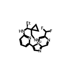 CC[C@H](Nc1cccc(-c2cnc3cnc(C(F)F)cn23)n1)C1(CN)CC1